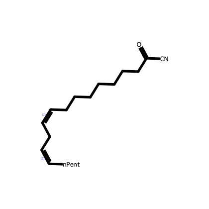 CCCCC/C=C\C/C=C\CCCCCCCC(=O)C#N